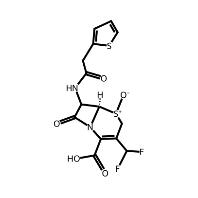 O=C(Cc1cccs1)NC1C(=O)N2C(C(=O)O)=C(C(F)F)C[S+]([O-])[C@H]12